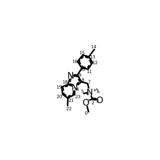 COC(=O)[N+](C)(C)Cc1c(-c2ccc(C)cc2)nc2ccc(C)cn12